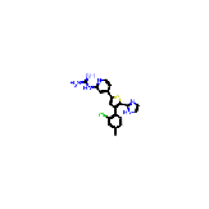 Cc1ccc(-c2cc(-c3ccnc(NC(=N)N)c3)sc2-c2ncc[nH]2)c(Cl)c1